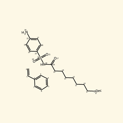 C=Cc1ccccc1.CCCCCCCCCCCCCCCCCC(=O)NS(=O)(=O)c1ccc(N)cc1